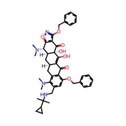 CN(C)c1c(CNC(C)(C)C2CC2)cc(OCc2ccccc2)c2c1C[C@H]1C[C@H]3[C@H](N(C)C)c4onc(OCc5ccccc5)c4C(=O)[C@@]3(O)C(O)=C1C2=O